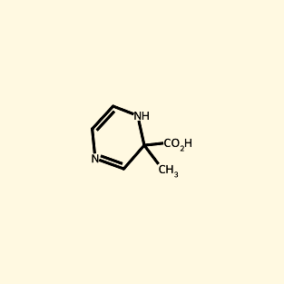 CC1(C(=O)O)C=NC=CN1